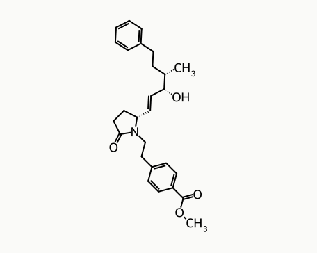 COC(=O)c1ccc(CCN2C(=O)CC[C@@H]2C=C[C@@H](O)[C@@H](C)CCc2ccccc2)cc1